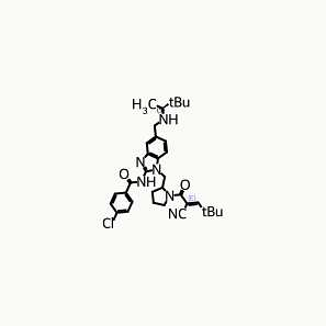 C[C@H](NCc1ccc2c(c1)nc(NC(=O)c1ccc(Cl)cc1)n2CC1CCCN1C(=O)/C(C#N)=C/C(C)(C)C)C(C)(C)C